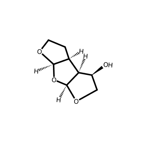 O[C@H]1CO[C@H]2O[C@H]3OCC[C@H]3[C@H]21